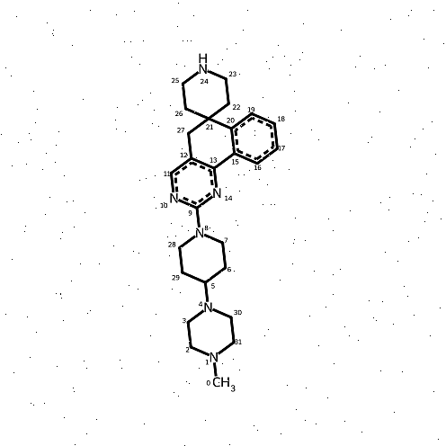 CN1CCN(C2CCN(c3ncc4c(n3)-c3ccccc3C3(CCNCC3)C4)CC2)CC1